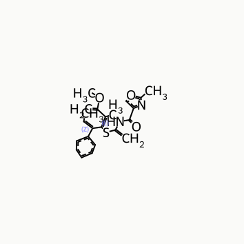 C=C(NC(=O)c1coc(C)n1)SC(/C(=C\C)c1ccccc1)=C(\C)C(=C)OC